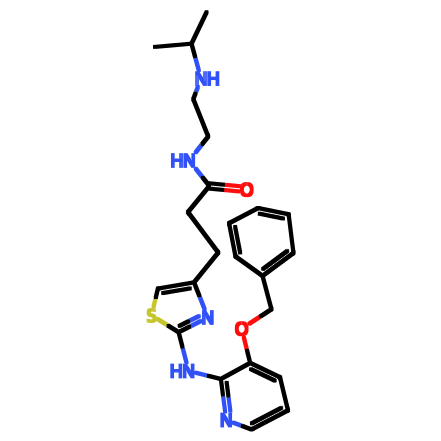 CC(C)NCCNC(=O)CCc1csc(Nc2ncccc2OCc2ccccc2)n1